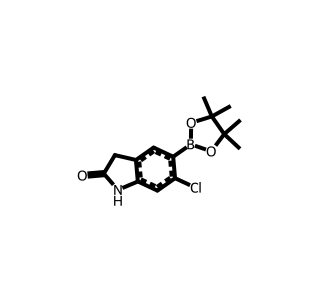 CC1(C)OB(c2cc3c(cc2Cl)NC(=O)C3)OC1(C)C